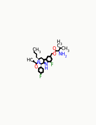 C#CC(=O)N1[C@@H](CCCC)Cc2c([nH]c3c(F)cc(COC(=O)[C@@H](N)C(C)C)cc23)[C@@H]1c1ccc(F)cc1